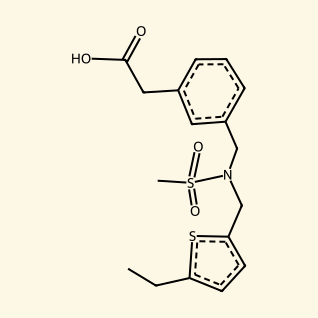 CCc1ccc(CN(Cc2cccc(CC(=O)O)c2)S(C)(=O)=O)s1